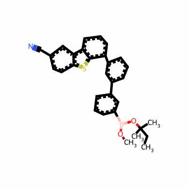 CCC(C)(C)OB(OC)c1cccc(-c2cccc(-c3cccc4c3sc3ccc(C#N)cc34)c2)c1